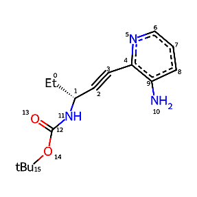 CC[C@H](C#Cc1ncccc1N)NC(=O)OC(C)(C)C